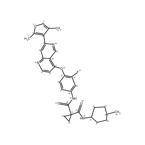 Cc1noc(C)c1-c1cc2nccc(Oc3ccc(NC(=O)C4(C(=O)NC5CCC(C)CC5)CC4)cc3F)c2cn1